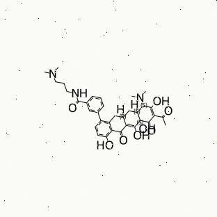 CC(=O)C1=C(O)[C@@H](N(C)C)[C@@H]2C[C@@H]3Cc4c(-c5cccc(C(=O)NCCCN(C)C)c5)ccc(O)c4C(=O)C3=C(O)[C@]2(O)C1=O